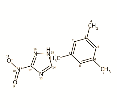 Cc1cc(C)cc(C)c1.O=[N+]([O-])c1nc[nH]n1